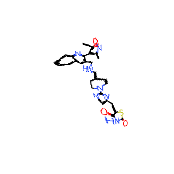 Cc1noc(C)c1-c1nc2ccccc2cc1CNCC1CCN(c2nccc(C=C3SC(=O)NC3=O)n2)CC1